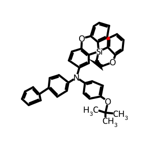 CC(C)(C)Oc1ccc(N(c2ccc(-c3ccccc3)cc2)c2ccc3c(c2)[Si]2(c4ccccc4Oc4ccccc42)c2ccccc2O3)cc1